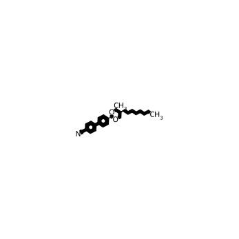 CCCCCCCC[C@H]1CO[C@H](c2ccc(-c3ccc(C#N)cc3)cc2)O[C@@H]1C